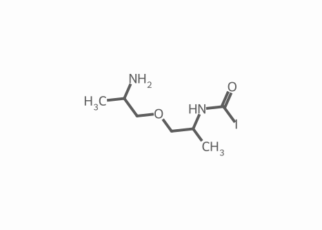 CC(N)COCC(C)NC(=O)I